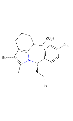 CCc1c2c(n([C@H](CCC(C)C)c3ccc(C(F)(F)F)cc3)c1C)C(CC(=O)O)CCC2